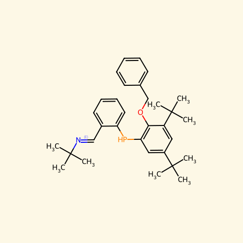 CC(C)(C)/N=C/c1ccccc1Pc1cc(C(C)(C)C)cc(C(C)(C)C)c1OCc1ccccc1